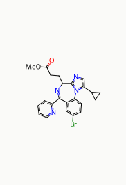 COC(=O)CCC1N=C(c2ccccn2)c2cc(Br)ccc2-n2c(C3CC3)cnc21